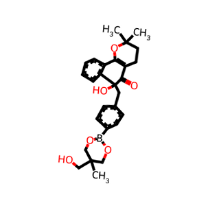 CC1(CO)COB(c2ccc(CC3(O)C(=O)C4=C(OC(C)(C)CC4)c4ccccc43)cc2)OC1